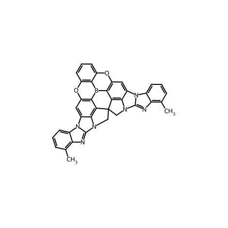 Cc1cccc2c1nc1n3c4c5c6c(cc4n21)Oc1cccc2c1B6c1c(cc4c6c1C5(C3)Cn6c1nc3c(C)cccc3n41)O2